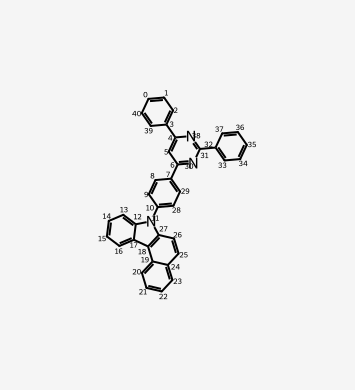 c1ccc(-c2cc(-c3ccc(-n4c5ccccc5c5c6ccccc6ccc54)cc3)nc(-c3ccccc3)n2)cc1